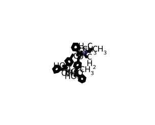 C=C/C(=C\C=C(C)C)C(OC)(OCc1ccc(C(O)(OC)C(O)c2ccccc2)cc1)C(OCc1ccc(C(O)(OC)C(O)c2ccccc2)cc1)c1ccccc1